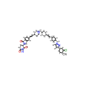 Cc1c(-c2ccc(C#N)c(Cl)c2)nn(Cc2ccc(C#CC3CCC(CN4CCC(C#Cc5ccc6c(c5)CN(C5CCC(=O)NC5=O)C6=O)CC4)CC3)cc2)c1C